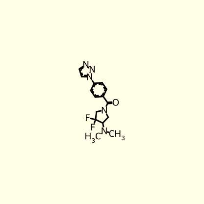 CN(C)C1CN(C(=O)c2ccc(-n3ccnn3)cc2)CC1(F)F